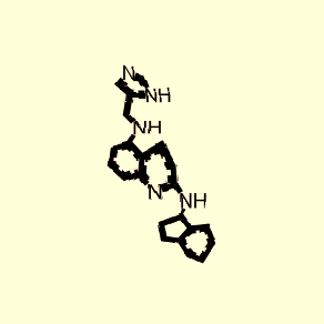 c1ccc2c(c1)CC[C@H]2Nc1ccc2c(NCc3cnc[nH]3)cccc2n1